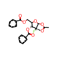 CC(=O)OC1OC(COC(=O)c2ccccc2)[C@@H](OC(=O)c2ccccc2)[C@@]1(C)F